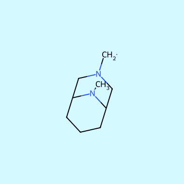 [CH2]N1CC2CCCC(C1)N2C